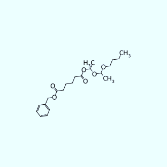 CCCCOC(C)OC(C)OC(=O)CCCCC(=O)OCc1ccccc1